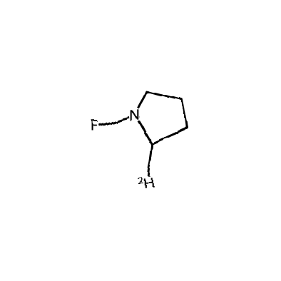 [2H]C1CCCN1F